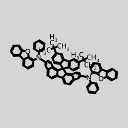 CC(C)(C)c1ccc2c(c1)-c1cc(C(C)(C)C)ccc1C21c2c(ccc3cc(N(c4ccccc4)c4cccc5c4oc4ccccc45)ccc23)-c2ccc3cc(N(c4ccccc4)c4cccc5c4oc4ccccc45)ccc3c21